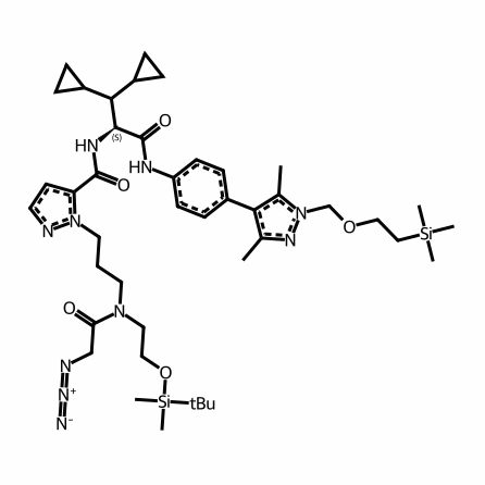 Cc1nn(COCC[Si](C)(C)C)c(C)c1-c1ccc(NC(=O)[C@@H](NC(=O)c2ccnn2CCCN(CCO[Si](C)(C)C(C)(C)C)C(=O)CN=[N+]=[N-])C(C2CC2)C2CC2)cc1